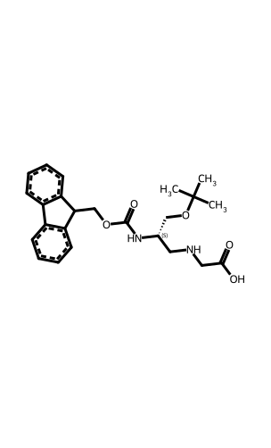 CC(C)(C)OC[C@H](CNCC(=O)O)NC(=O)OCC1c2ccccc2-c2ccccc21